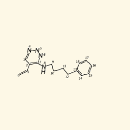 C=Cc1cnnnc1NCCCCc1ccccc1